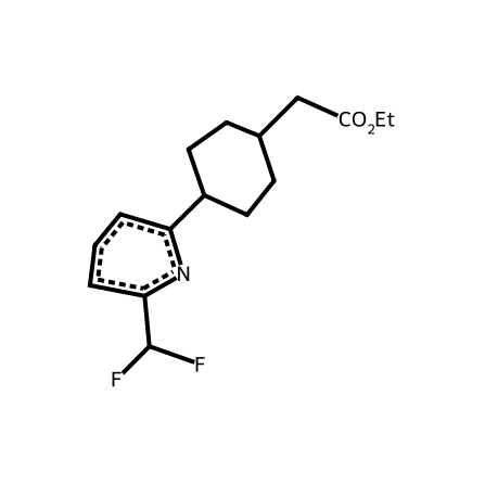 CCOC(=O)CC1CCC(c2cccc(C(F)F)n2)CC1